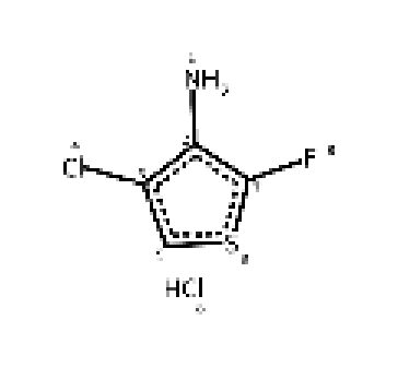 Cl.Nc1c(Cl)csc1F